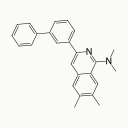 Cc1cc2cc(-c3cccc(-c4ccccc4)c3)nc(N(C)C)c2cc1C